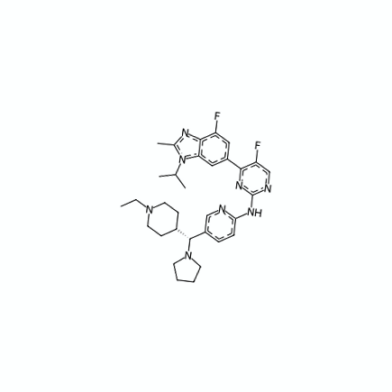 CCN1CCC([C@H](c2ccc(Nc3ncc(F)c(-c4cc(F)c5nc(C)n(C(C)C)c5c4)n3)nc2)N2CCCC2)CC1